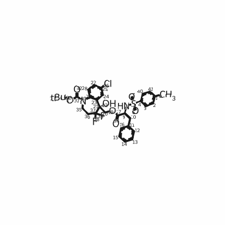 Cc1ccc(S(=O)(=O)NC(Cc2ccccc2)C(=O)OC[C@]2(O)c3cc(Cl)ccc3N(C(=O)OC(C)(C)C)CCC2(F)F)cc1